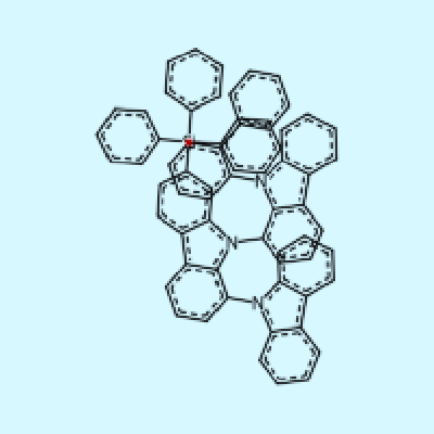 c1ccc(-c2ccccc2-n2c3ccccc3c3cccc(-n4c5cc([Si](c6ccccc6)(c6ccccc6)c6ccccc6)ccc5c5cccc(-n6c7ccccc7c7ccccc76)c54)c32)cc1